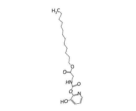 CCCCCCCCCCCCCOC(=O)CNC(=O)Oc1ncccc1O